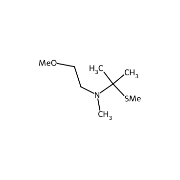 COCCN(C)C(C)(C)SC